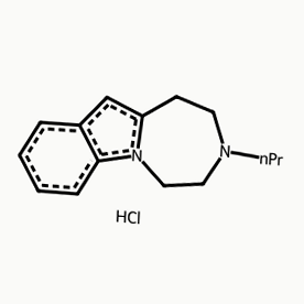 CCCN1CCc2cc3ccccc3n2CC1.Cl